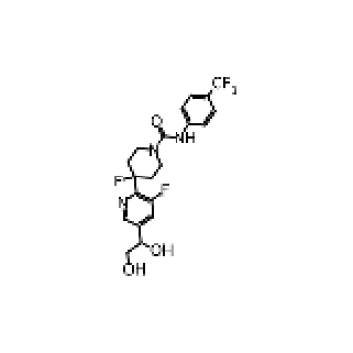 O=C(Nc1ccc(C(F)(F)F)cc1)N1CCC(F)(c2ncc([C@@H](O)CO)cc2F)CC1